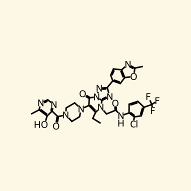 CCc1c(N2CCN(C(=O)c3ncnc(C)c3O)CC2)c(=O)n2nc(-c3ccc4nc(C)oc4c3)nc2n1CC(=O)Nc1ccc(C(F)(F)F)cc1Cl